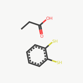 CCC(=O)O.Sc1ccccc1S